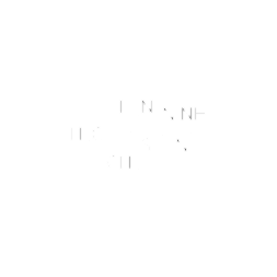 CC(C)CSc1nc[nH]n1.N